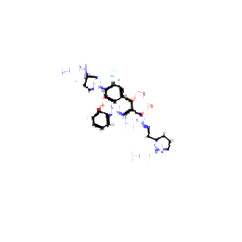 CN1CCCC1CCNC(=O)c1cn2c3c(c(N4CC[C@@H](N)C4)c(F)cc3c1=O)Oc1ccccc1-2